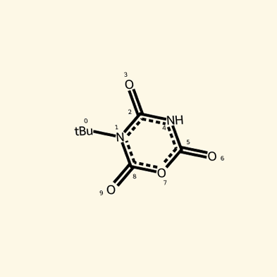 CC(C)(C)n1c(=O)[nH]c(=O)oc1=O